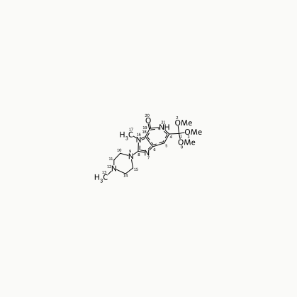 COC(OC)(OC)c1cc2nc(N3CCN(C)CC3)n(C)c2c(=O)[nH]1